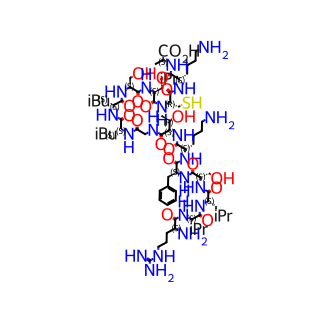 CC[C@H](C)[C@H](NC(=O)CNC(=O)[C@@H](NC(=O)[C@H](CCCCN)NC(=O)[C@H](Cc1ccccc1)NC(=O)[C@H](CO)NC(=O)[C@H](CC(C)C)NC(=O)[C@@H](NC(=O)[C@@H](N)CCCNC(=N)N)C(C)C)[C@@H](C)O)C(=O)N[C@H](C(=O)N[C@@H](CO)C(=O)N[C@@H](CC(C)C)C(=O)N[C@@H](CS)C(=O)N[C@@H](CCCCN)C(=O)N[C@@H](C)C(=O)O)[C@@H](C)CC